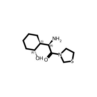 N[C@@H](C(=O)N1CCSC1)[C@@H]1CCCC[C@H]1O